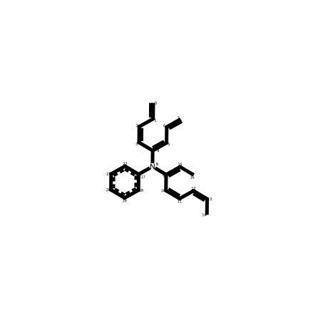 C=C/C=C\C(=C/C=C)N(C(/C=C\C=C/C)=C/C)c1ccccc1